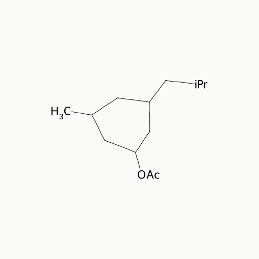 CC(=O)OC1CC(C)CC(CC(C)C)C1